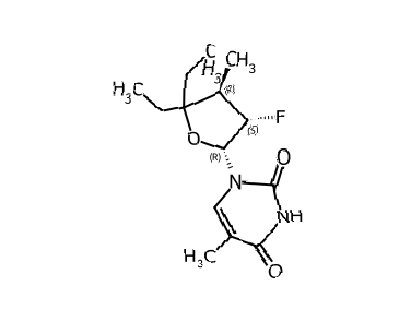 CCC1(CC)O[C@@H](n2cc(C)c(=O)[nH]c2=O)[C@@H](F)[C@@H]1C